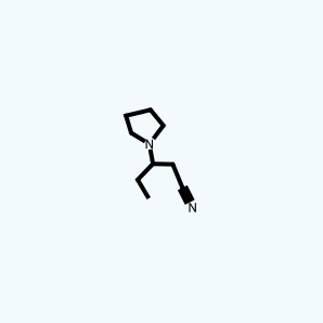 CCC(CC#N)N1CCCC1